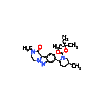 CC1CC=C(c2ccc3c4n(nc3c2)CCN(C)C4=O)N(C(=O)OC(C)(C)C)C1